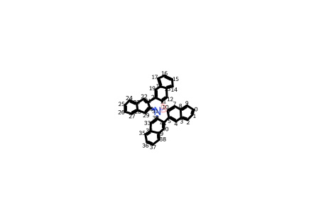 c1ccc2cc3c(cc2c1)B1c2cc4ccccc4cc2-c2cc4ccccc4cc2N1c1cc2ccccc2cc1-3